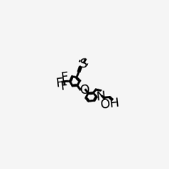 C=CC(O)N1CCc2c(OCc3cc(C#CS(C)(C)C)cc(C(F)(F)F)c3)cccc21